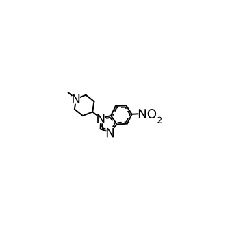 CN1CCC(n2cnc3cc([N+](=O)[O-])ccc32)CC1